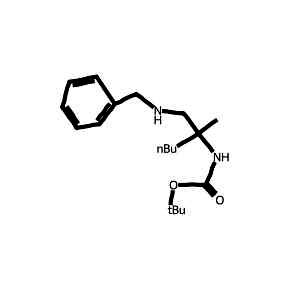 CCCCC(C)(CNCc1ccccc1)NC(=O)OC(C)(C)C